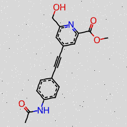 COC(=O)c1cc(C#Cc2ccc(NC(C)=O)cc2)cc(CO)n1